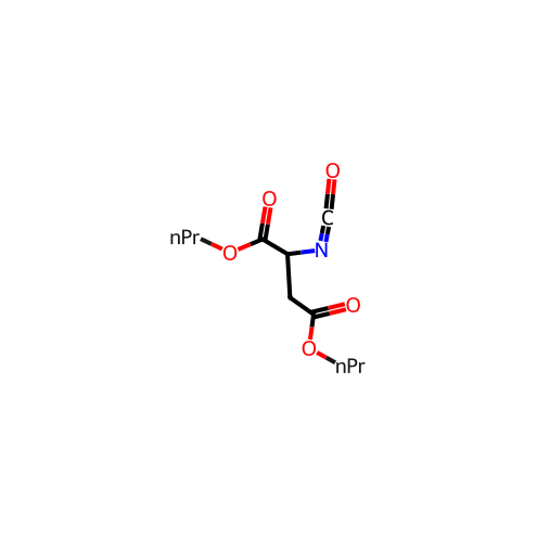 CCCOC(=O)CC(N=C=O)C(=O)OCCC